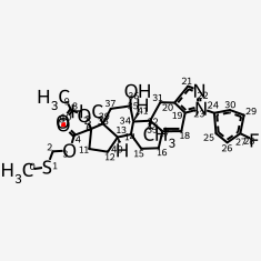 CSCOC(=O)C1(OC(C)=O)CC[C@H]2C3CCC4=Cc5c(cnn5-c5ccc(F)cc5)CC4(C)[C@H]3C(O)CC21C